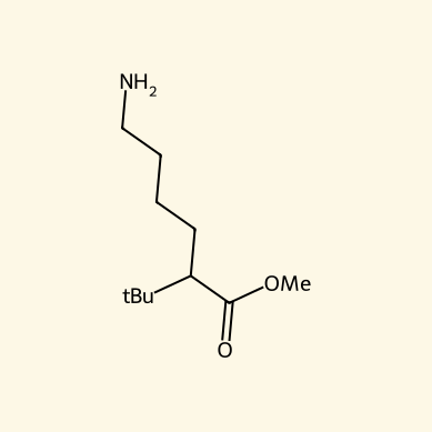 COC(=O)C(CCCCN)C(C)(C)C